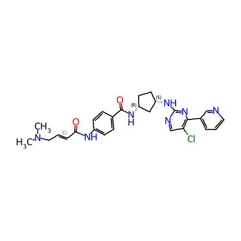 CN(C)C/C=C/C(=O)Nc1ccc(C(=O)N[C@@H]2CC[C@H](Nc3ncc(Cl)c(-c4cccnc4)n3)C2)cc1